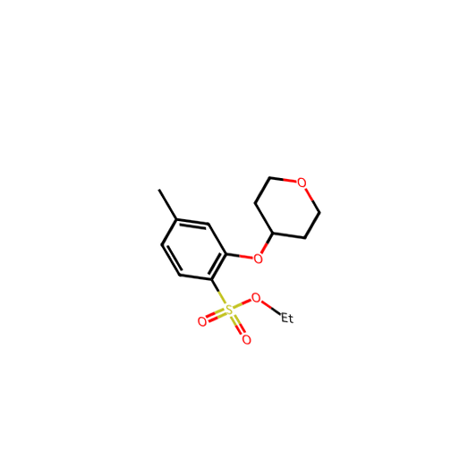 CCOS(=O)(=O)c1ccc(C)cc1OC1CCOCC1